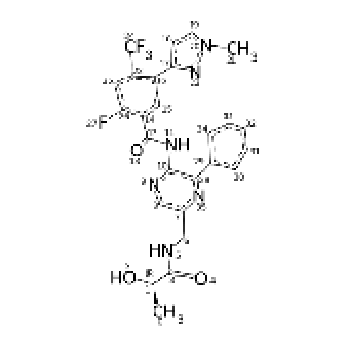 C[C@@H](O)C(=O)NCc1cnc(NC(=O)c2cc(-c3ccn(C)n3)c(C(F)(F)F)cc2F)c(-c2ccccc2)n1